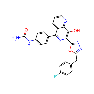 NC(=O)Nc1ccc(-c2nc(-c3nnc(Cc4ccc(F)cc4)o3)c(O)c3ncccc23)cc1